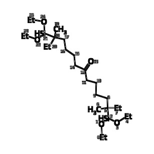 CCO[SiH](OCC)C(C)(CC)CCCCC(=O)CCCCC(C)(CC)[SiH](OCC)OCC